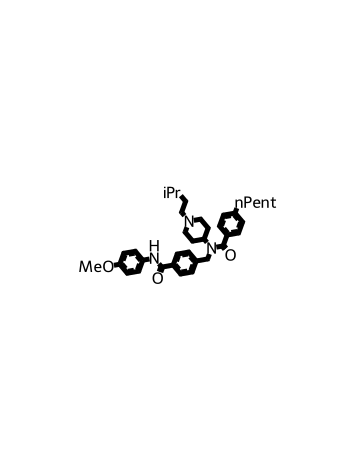 CCCCCc1ccc(C(=O)N(Cc2ccc(C(=O)Nc3ccc(OC)cc3)cc2)C2CCN(CCC(C)C)CC2)cc1